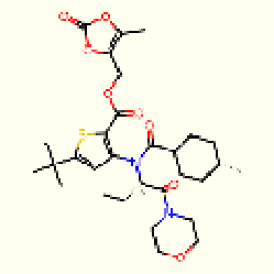 CC[C@@H](C(=O)N1CCOCC1)N(c1cc(C(C)(C)C)sc1C(=O)OCc1oc(=O)oc1C)C(=O)[C@H]1CC[C@H](C)CC1